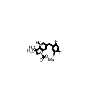 CC(C)(C)OC(=O)N1CC(C)(C)c2c1cc(Cc1cc(F)c(F)cc1F)c[n+]2[O-]